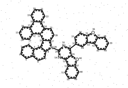 c1ccc2c(c1)ccc1c2c2c3c4ccccc4c4ccccc4c3ccc2n1-c1nc(-c2ccc3oc4ccccc4c3c2)c2oc3ccccc3c2n1